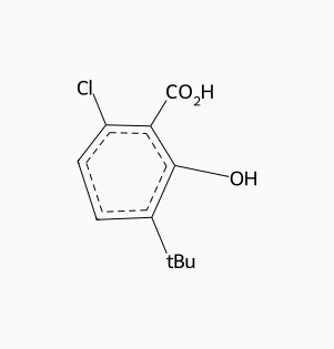 CC(C)(C)c1ccc(Cl)c(C(=O)O)c1O